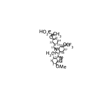 COc1cccc2c(-c3c(C)n(Cc4cccc(O[C@@H](C)C(=O)O)c4)c4cc(OC(F)(F)F)ccc34)noc12